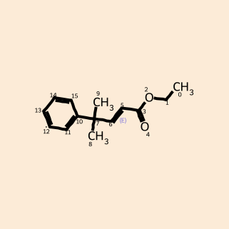 CCOC(=O)/C=C/C(C)(C)c1c[c][c]cc1